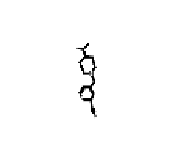 CC(C)C1CCN(Cc2ccnc(C#N)c2)CC1